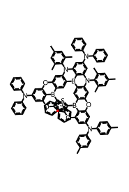 Cc1ccc(N(c2ccc(C)cc2)c2cc3c4c(c2)Oc2c(sc5ccccc25)B4c2cc4c(cc2O3)N(c2c(C)cc(C)cc2C)c2cc(N(c3ccccc3)c3ccccc3)cc3c2B4c2cc4c(cc2N3c2c(C)cc(C)cc2C)Oc2cc(N(c3ccccc3)c3ccccc3)cc3c2B4c2sc4ccccc4c2O3)cc1